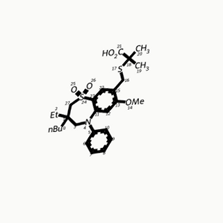 CCCCC1(CC)CN(c2ccccc2)c2cc(OC)c(CSC(C)(C)C(=O)O)cc2S(=O)(=O)C1